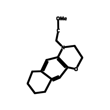 COCCN1CCOc2cc3c(cc21)CCCC3